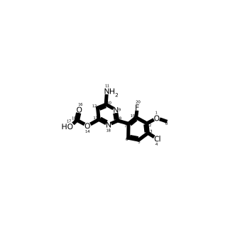 COc1c(Cl)ccc(-c2nc(N)cc(OC(=O)O)n2)c1F